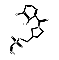 C=CS(=O)(=O)NCC1CCN(C(=O)c2cccc(Cl)c2C)C1